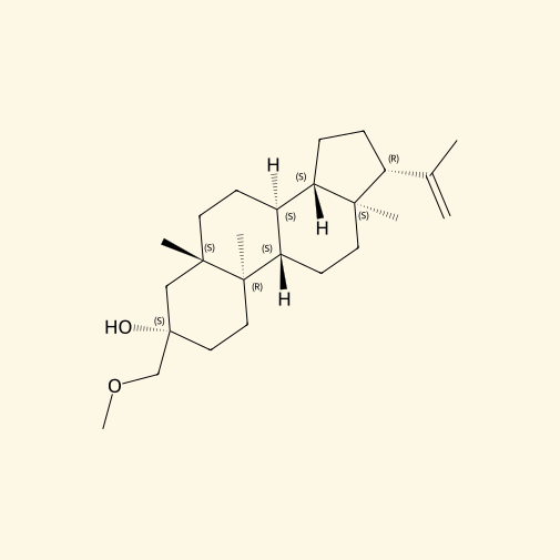 C=C(C)[C@H]1CC[C@H]2[C@@H]3CC[C@@]4(C)C[C@](O)(COC)CC[C@]4(C)[C@H]3CC[C@]12C